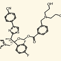 C[C@@H](c1nc(-c2ccc(C#N)cc2)cs1)[C@@](Cn1cncn1)(OCOC(=O)c1cccc(CN(CCO)CCO)c1)c1ccc(F)cc1F